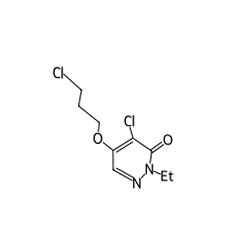 CCn1ncc(OCCCCl)c(Cl)c1=O